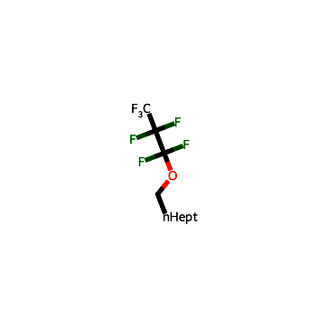 CCCCCCCCOC(F)(F)C(F)(F)C(F)(F)F